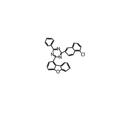 Clc1cccc2cc(-c3nc(-c4ccccc4)nc(-c4cccc5oc6ccccc6c45)n3)ccc12